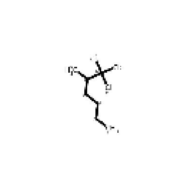 CCCCC(C)C(Cl)(Cl)Cl